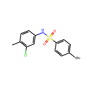 Cc1ccc(NS(=O)(=O)c2ccc(C(C)(C)C)cc2)cc1Cl